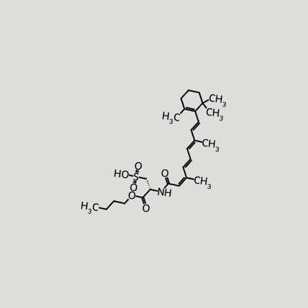 CCCCOC(=O)[C@H](CS(=O)(=O)O)NC(=O)\C=C(C)/C=C/C=C(C)/C=C/C1=C(C)CCCC1(C)C